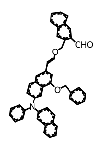 O=Cc1cc2ccccc2cc1COC=Cc1cc(OCc2ccccc2)c2cc(N(c3ccccc3)c3ccc4ccccc4c3)ccc2c1